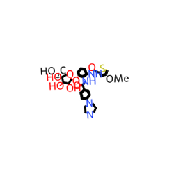 COc1csc(C(=O)Nc2cccc(O[C@@H]3O[C@H](C(=O)O)[C@@H](O)[C@H](O)[C@H]3O)c2NC(=O)c2ccc(N3CCCN(C)CC3)cc2)c1